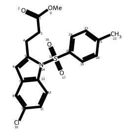 COC(=O)CCc1cc2cc(Cl)ccc2n1S(=O)(=O)c1ccc(C)cc1